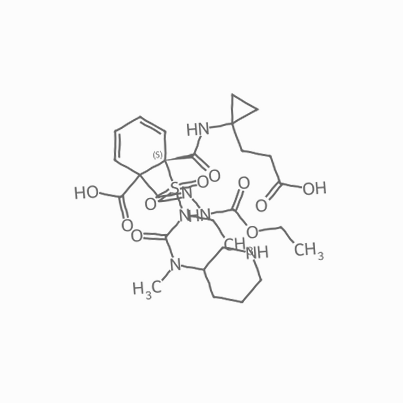 CCOC(=O)NN=CC1(C(=O)O)C=CC=C[C@]1(C(=O)NC1(CCC(=O)O)CC1)S(=O)(=O)N(CC)C(=O)N(C)C1CCCNC1